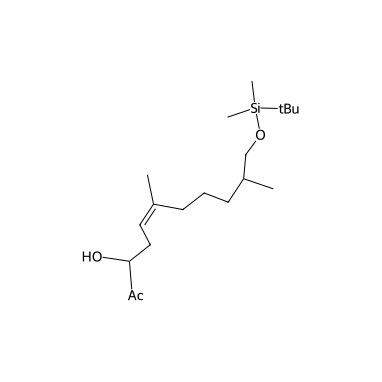 CC(=O)C(O)CC=C(C)CCCC(C)CO[Si](C)(C)C(C)(C)C